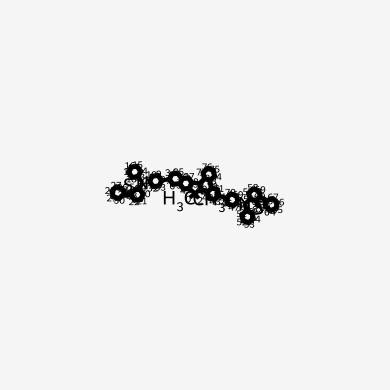 CC1(C)c2cc3cc(-c4ccc(N(c5ccccc5)c5cccc6c5sc5ccccc56)cc4)ccc3cc2-c2c1c1ccc(-c3ccc(N(c4ccccc4)c4cccc5c4sc4ccccc45)cc3)cc1c1ccccc21